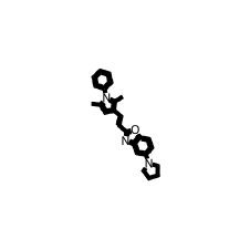 Cc1cc(/C=C/c2nc3cc(N4CCCC4)ccc3o2)c(C)n1-c1ccccc1